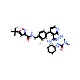 CN(C)C(=O)N[C@H]1CCCC[C@@H]1Nc1n[nH]c2nccc(-c3ccc(CNC(=O)c4cc(C(C)(C)C)on4)c(F)c3)c12